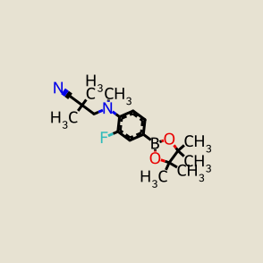 CN(CC(C)(C)C#N)c1ccc(B2OC(C)(C)C(C)(C)O2)cc1F